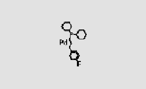 Fc1ccc(CC=CP(C2CCCCC2)C2CCCCC2)cc1.[Pd]